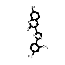 Cc1ccc(-c2nc(-c3cc4ccc(O)cc4oc3=O)cs2)c(C)c1